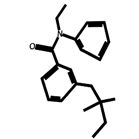 CCN(C(=O)c1cccc(CC(C)(C)CC)c1)c1ccccc1